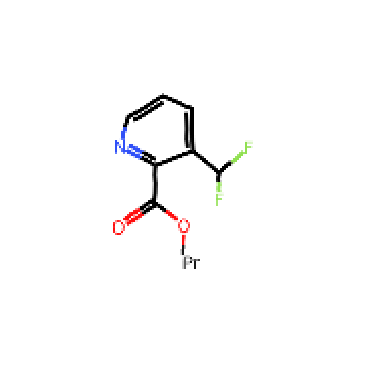 CC(C)OC(=O)c1ncccc1C(F)F